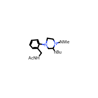 CCCCC1CN(c2ccccc2CNC(C)=O)CCN1NC